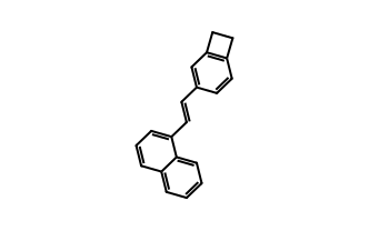 C(=Cc1cccc2ccccc12)c1ccc2c(c1)CC2